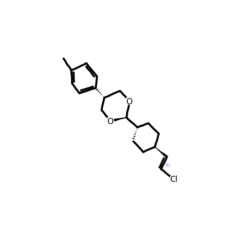 Cc1ccc([C@H]2CO[C@H]([C@H]3CC[C@H](/C=C/Cl)CC3)OC2)cc1